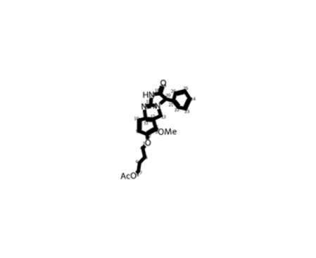 COc1c(OCCCCOC(C)=O)ccc2c1CN1C(=N2)NC(=O)C1c1ccccc1